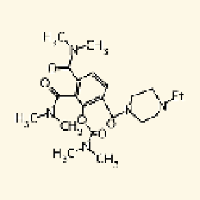 CCN1CCN(C(=O)c2ccc(C(=O)N(C)C)c(C(=O)N(C)C)c2OC(=O)N(C)C)CC1